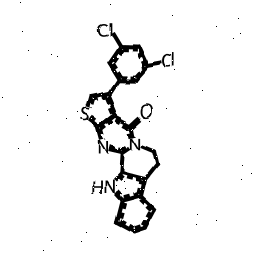 O=c1c2c(-c3cc(Cl)cc(Cl)c3)csc2nc2n1CCc1c-2[nH]c2ccccc12